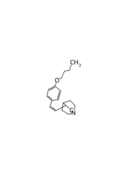 CCCCOc1ccc(/C=C\C2CN3CCC2CC3)cc1